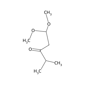 COC(CC(=O)C(C)C)OC